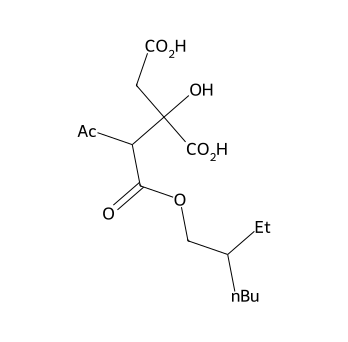 CCCCC(CC)COC(=O)C(C(C)=O)C(O)(CC(=O)O)C(=O)O